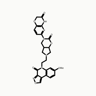 COc1ccc2c3conc3c(=O)n(CCN3CC4CN(c5ccc6c(n5)NC(=O)CO6)C(=O)OC4C3)c2c1